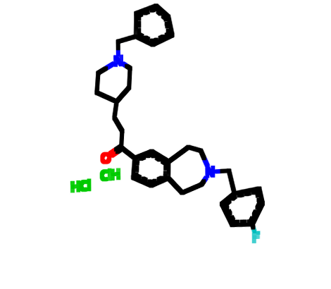 Cl.Cl.O=C(CCC1CCN(Cc2ccccc2)CC1)c1ccc2c(c1)CCN(Cc1ccc(F)cc1)CC2